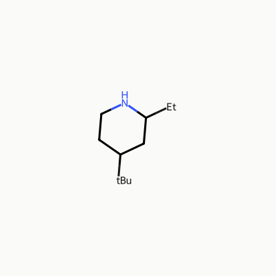 CCC1CC(C(C)(C)C)CCN1